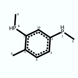 CPc1ccc(C)c(PC)c1